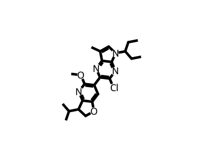 CCC(CC)n1cc(C)c2nc(-c3cc4c(nc3OC)C(C(C)C)CO4)c(Cl)nc21